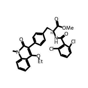 CCOc1c(-c2ccc(C[C@H](NC(=O)c3c(Cl)cccc3Cl)C(=O)OC)cc2)c(=O)n(C)c2ccccc12